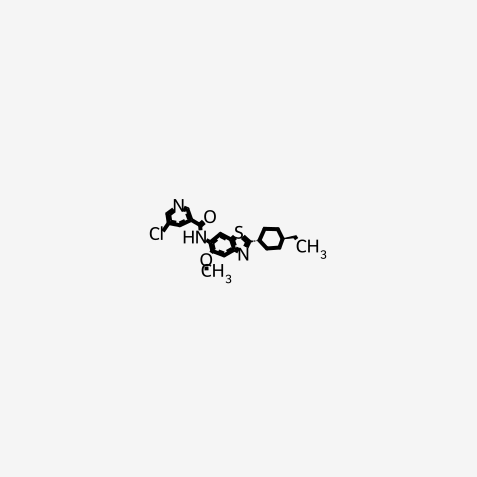 CC[C@H]1CC[C@H](c2nc3cc(OC)c(NC(=O)c4cncc(Cl)c4)cc3s2)CC1